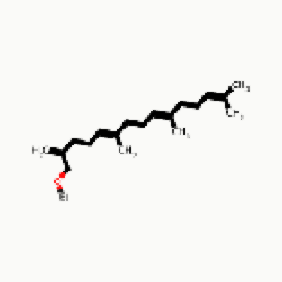 C=C(CC/C=C(\C)CC/C=C(\C)CCC=C(C)C)COCC